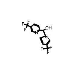 OC(c1ccc(C(F)(F)F)cn1)c1ccc(C(F)(F)F)cn1